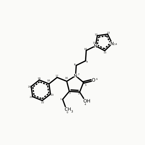 CCC1=C(O)C(=O)N(CCCn2ccnc2)C1Cc1ccccc1